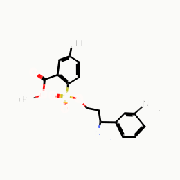 Cc1ccc(S(=O)(=O)OCCC(N)c2cccc([N+](=O)[O-])c2)c(C(=O)OC(C)(C)C)c1